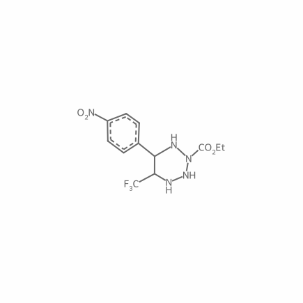 CCOC(=O)N1NNC(C(F)(F)F)C(c2ccc([N+](=O)[O-])cc2)N1